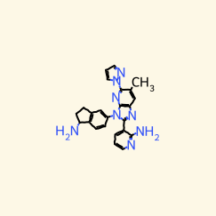 Cc1cc2nc(-c3cccnc3N)n(-c3ccc4c(c3)CC[C@@H]4N)c2nc1-n1cccn1